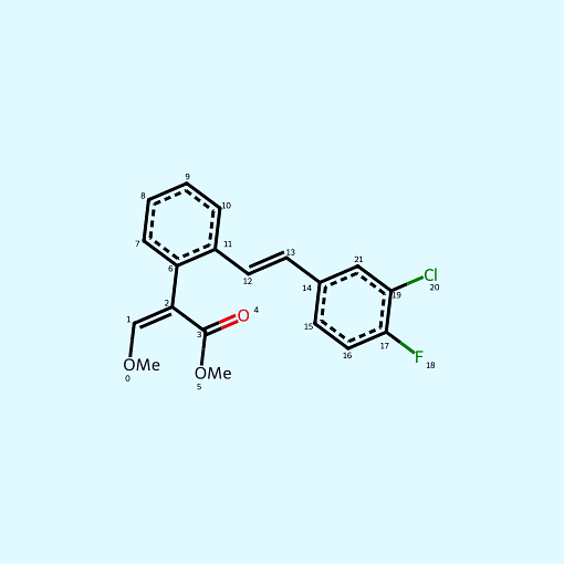 COC=C(C(=O)OC)c1ccccc1C=Cc1ccc(F)c(Cl)c1